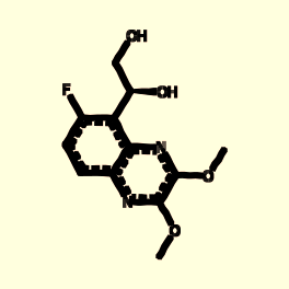 COc1nc2ccc(F)c([C@H](O)CO)c2nc1OC